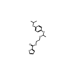 CC(OCCOC(=O)c1cccs1)Oc1ccc(SC(C)C)cc1